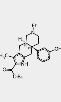 CCN1CC[C@]2(c3cccc(O)c3)Cc3[nH]c(C(=O)OCC(C)C)c(C)c3C[C@H]2C1